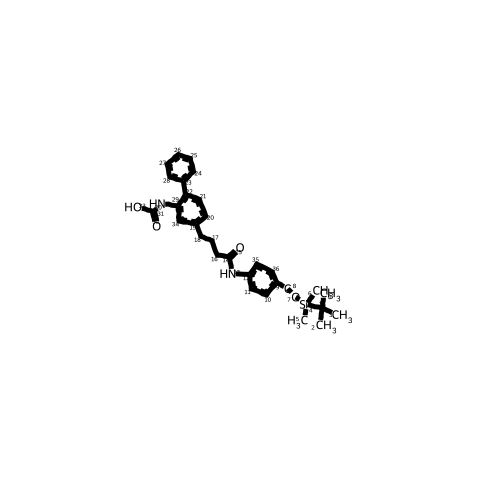 CC(C)(C)[Si](C)(C)OCc1ccc(NC(=O)CCCc2ccc(-c3ccccc3)c(NC(=O)O)c2)cc1